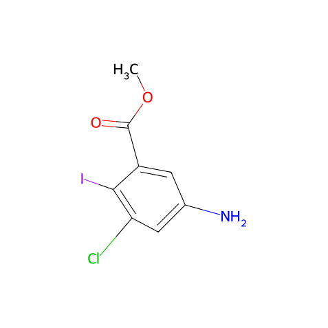 COC(=O)c1cc(N)cc(Cl)c1I